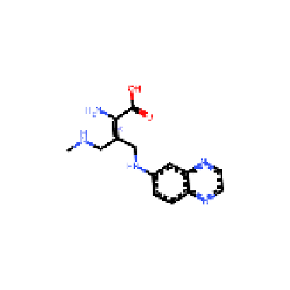 CNC/C(CNc1ccc2nccnc2c1)=C(\N)C(=O)O